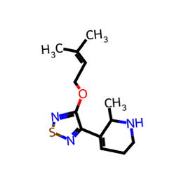 CC(C)=CCOc1nsnc1C1=CCCNC1C